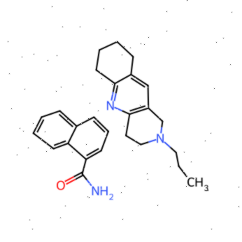 CCCN1CCc2nc3c(cc2C1)CCCC3.NC(=O)c1cccc2ccccc12